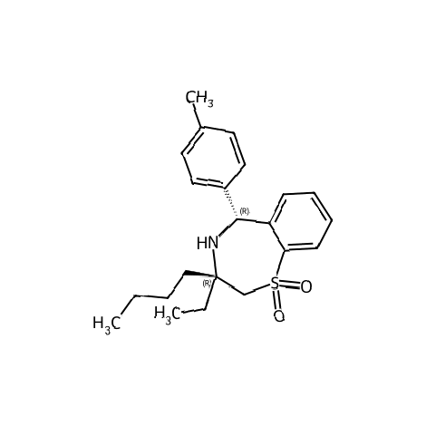 CCCC[C@]1(CC)CS(=O)(=O)c2ccccc2[C@@H](c2ccc(C)cc2)N1